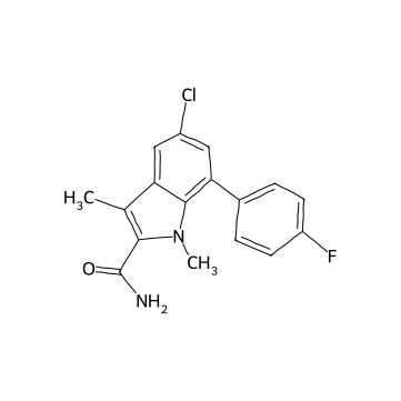 Cc1c(C(N)=O)n(C)c2c(-c3ccc(F)cc3)cc(Cl)cc12